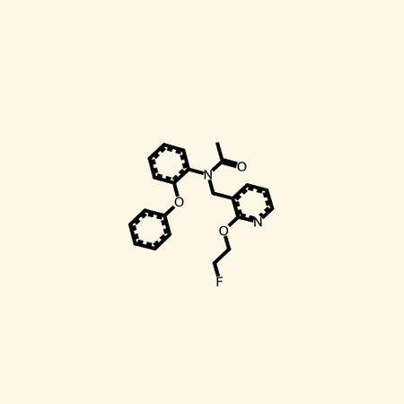 CC(=O)N(Cc1cccnc1OCCF)c1ccccc1Oc1ccccc1